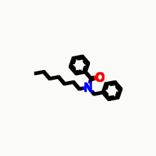 CCCCCCCN(Cc1ccccc1)C(=O)c1ccccc1